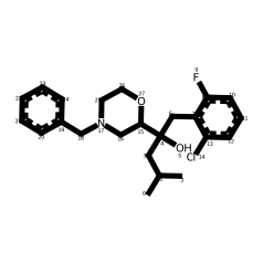 CC(C)CC(O)(Cc1c(F)cccc1Cl)C1CN(Cc2ccccc2)CCO1